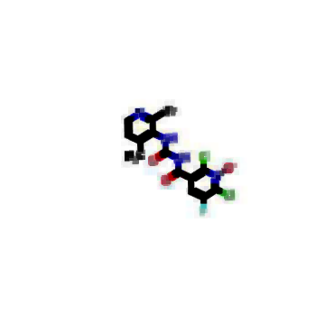 Cc1ccnc(C(C)C)c1NC(=O)NC(=O)c1cc(F)c(Cl)[n+]([O-])c1Cl